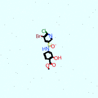 COC(=O)c1ccc(N[S+]([O-])c2cnc(Cl)c(Br)c2)cc1O